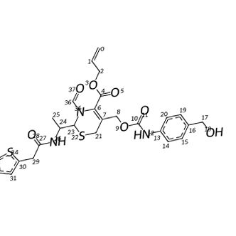 C=CCOC(=O)C1=C(COC(=O)Nc2ccc(CO)cc2)CSC(C(C)NC(=O)Cc2cccs2)N1C=O